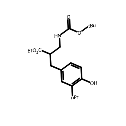 CCCc1cc(CC(CNC(=O)OC(C)(C)C)C(=O)OCC)ccc1O